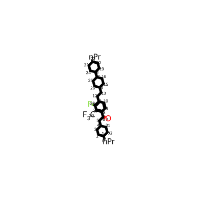 CCCC1CCC(CC(=O)c2ccc(CCC3CCC(C4CCC(CCC)CC4)CC3)c(F)c2C(F)(F)F)CC1